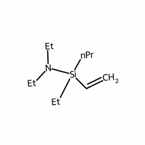 C=C[Si](CC)(CCC)N(CC)CC